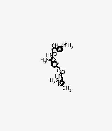 COc1cccc(C(C)CC(=O)Nc2sc3c(c2N)CCC(COC(=O)NCc2cc(C)nn2C)C3)c1